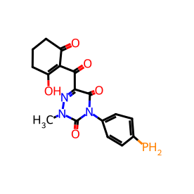 Cn1nc(C(=O)C2=C(O)CCCC2=O)c(=O)n(-c2ccc(P)cc2)c1=O